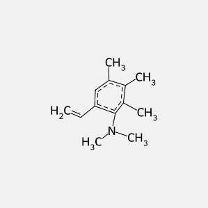 C=Cc1cc(C)c(C)c(C)c1N(C)C